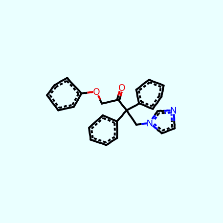 O=C(COc1ccccc1)C(Cn1ccnc1)(c1ccccc1)c1ccccc1